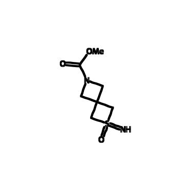 COC(=O)N1CC2(C1)CS(=N)(=O)C2